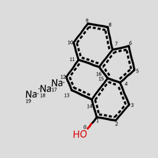 Oc1ccc2ccc3cccc4ccc1c2c34.[Na].[Na].[Na]